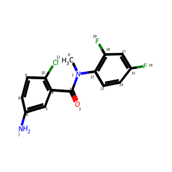 CN(C(=O)c1cc(N)ccc1Cl)c1ccc(F)cc1F